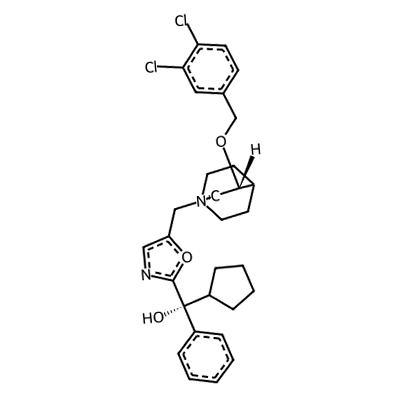 O[C@](c1ccccc1)(c1ncc(C[N+]23CCC(CC2)[C@@H](OCc2ccc(Cl)c(Cl)c2)C3)o1)C1CCCC1